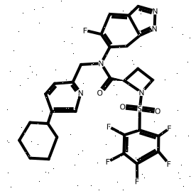 O=C([C@H]1CCN1S(=O)(=O)c1c(F)c(F)c(F)c(F)c1F)N(Cc1ccc(C2CCCCC2)cn1)C1=C(F)C=C2C=NN=C2C1